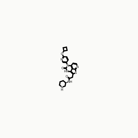 O=C(Cc1sc2nccc3c2c1NC(=O)N3c1ccc(OC2CCC2)nc1)N[C@@H]1CCCNC1